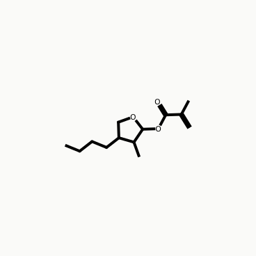 C=C(C)C(=O)OC1OCC(CCCC)C1C